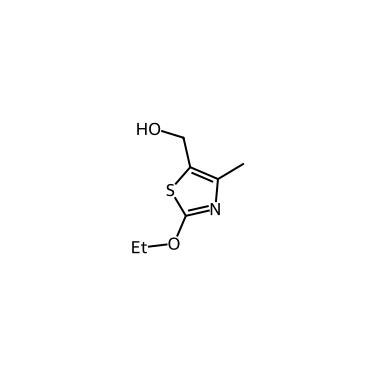 CCOc1nc(C)c(CO)s1